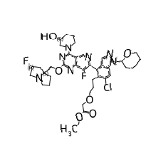 CCOC(=O)COCCCc1c(Cl)cc2c(cnn2C2CCCCO2)c1-c1ncc2c(N3CCC[C@@H](O)C3)nc(OC[C@@]34CCCN3C[C@H](F)C4)nc2c1F